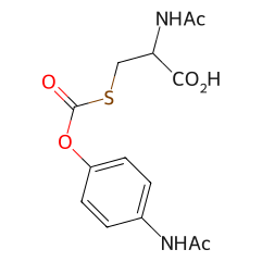 CC(=O)Nc1ccc(OC(=O)SCC(NC(C)=O)C(=O)O)cc1